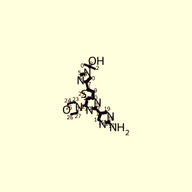 CC(C)(O)n1cnc(-c2cc3nc(-c4cnc(N)nc4)nc(N4CCOCC4)c3s2)c1